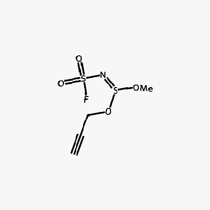 C#CCOS(=NS(=O)(=O)F)OC